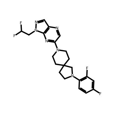 Fc1ccc(N2CCC3(CCN(c4cnc5cnn(CC(F)F)c5n4)CC3)C2)c(F)c1